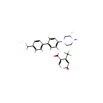 C[C@@H]1CN(c2cc(F)c(-c3ccc(C(N)O)c(F)c3F)c(F)c2NC(=O)c2c[nH]c(=O)cc2C(F)(F)F)C[C@H](C)N1C